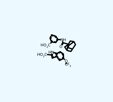 O=C(O)c1cc2cc(OC(F)(F)F)ccc2[nH]1.O=C(O)c1cccc(NC(=O)C23CC4CC(CC(C4)C2)C3)c1